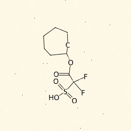 O=C(OC1CCCCCC1)C(F)(F)S(=O)(=O)O